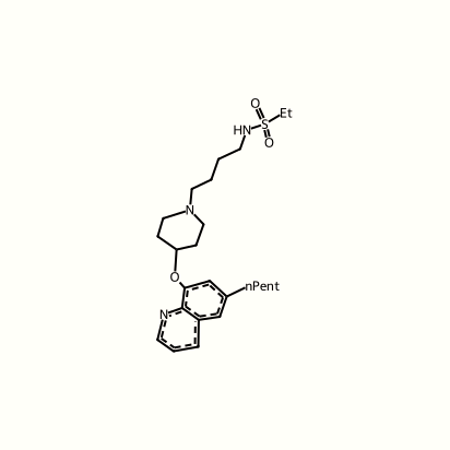 CCCCCc1cc(OC2CCN(CCCCNS(=O)(=O)CC)CC2)c2ncccc2c1